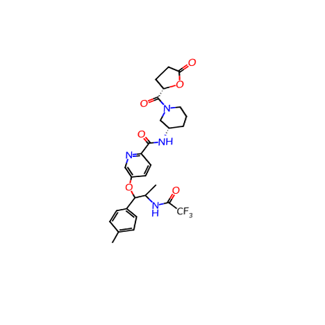 Cc1ccc(C(Oc2ccc(C(=O)N[C@H]3CCCN(C(=O)[C@@H]4CCC(=O)O4)C3)nc2)C(C)NC(=O)C(F)(F)F)cc1